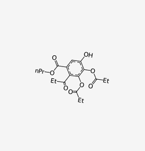 CCCOC(=O)c1cc(O)c(OC(=O)CC)c(OC(=O)CC)c1C(=O)CC